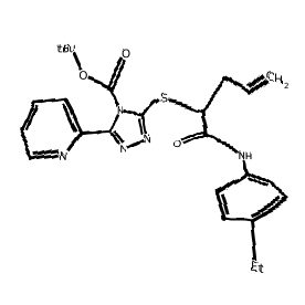 C=CCC(Sc1nnc(-c2ccccn2)n1C(=O)OC(C)(C)C)C(=O)Nc1ccc(CC)cc1